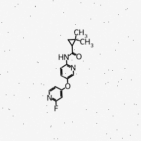 CC1(C)CC1C(=O)Nc1ccc(Oc2ccnc(F)c2)cn1